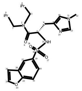 CC(C)CN(CC(C)C)C(=O)[C@H](Cc1cn(C)cn1)NS(=O)(=O)c1ccc2occc2c1